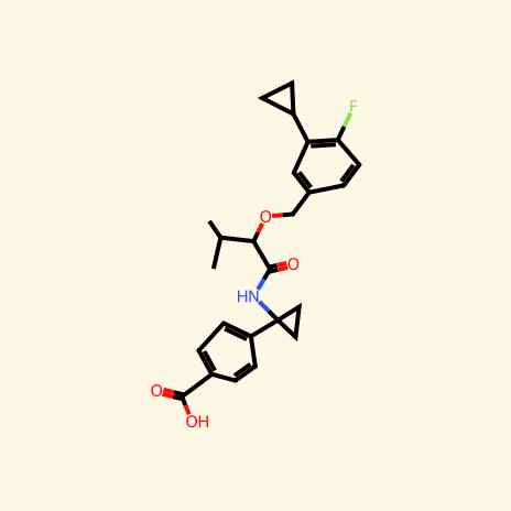 CC(C)C(OCc1ccc(F)c(C2CC2)c1)C(=O)NC1(c2ccc(C(=O)O)cc2)CC1